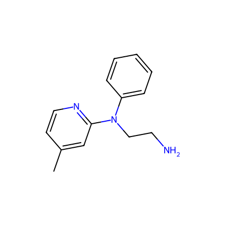 Cc1ccnc(N(CCN)c2ccccc2)c1